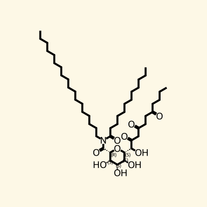 CCCCCCCCCCCCCCCCCCN(C(=O)CCCCCCCCCCC)C(=O)[C@@H]1O[C@H](C(O)C(=O)CC(=O)CCC(=O)CCCC)[C@@H](O)[C@H](O)[C@@H]1O